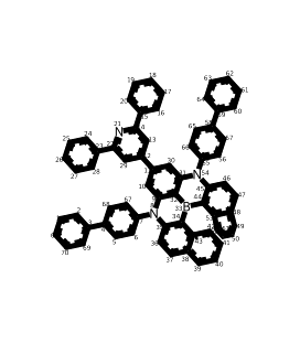 c1ccc(-c2ccc(N3c4cc(-c5cc(-c6ccccc6)nc(-c6ccccc6)c5)cc5c4B(c4c3ccc3ccccc43)c3c(ccc4ccccc34)N5c3ccc(-c4ccccc4)cc3)cc2)cc1